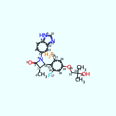 C[C@H]1C(=O)N(c2ccc3[nH]cnc3c2)[C@H]1c1c(F)cc(OCC(C)(C)O)cc1P